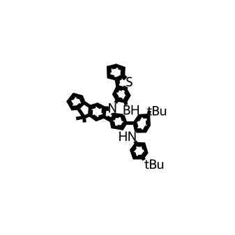 CC(C)(C)c1ccc(Nc2ccc(C(C)(C)C)cc2-c2ccc3c4cc5c(cc4n4c3c2Bc2cc3sc6ccccc6c3cc2-4)-c2ccccc2C5(C)C)cc1